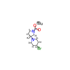 CC(C)(C)OC(=O)N1CCC(C)(N2CCC(Br)CC2)C1